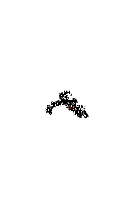 CC[C@H](C)C(NC(=O)C1CCCCN1C)C(=O)N(C)[C@H](C[C@@H](OC(C)=O)c1nc(C(=O)N(C)[C@@H](CSc2nccs2)C(=O)N[C@H](CCCCN)C(=O)N[C@@H](Cc2ccccc2)C(=O)N2CCN(C(=O)CCCN3C(=O)C=CC3=O)CC2)cs1)C(C)C